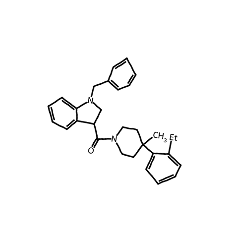 CCc1ccccc1C1(C)CCN(C(=O)C2CN(Cc3ccccc3)c3ccccc32)CC1